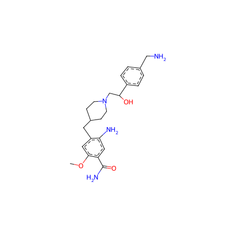 COc1cc(CC2CCN(CC(O)c3ccc(CN)cc3)CC2)c(N)cc1C(N)=O